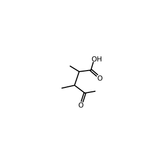 CC(=O)C(C)C(C)C(=O)O